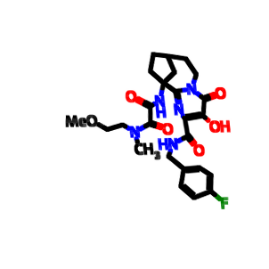 COCCN(C)C(=O)C(=O)NC12CCC(CCn3c1nc(C(=O)NCc1ccc(F)cc1)c(O)c3=O)C2